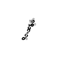 O=C1CCN(c2cc(C(=O)N3CCC4(CCN(CCN5CCN(C(=O)C6CCCCC6)CC5)CC4)CC3)ccc2Cl)C(=O)N1